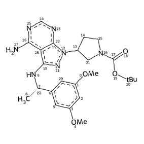 COc1cc(OC)cc([C@H](C)Nc2nn(C3CCN(C(=O)OC(C)(C)C)C3)c3ncnc(N)c23)c1